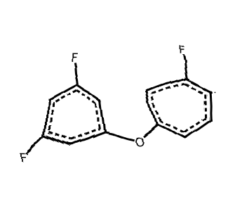 Fc1[c]ccc(Oc2cc(F)cc(F)c2)c1